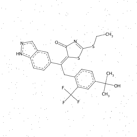 CCSC1=NC(=O)C(=C(Cc2ccc(C(C)(C)O)cc2C(F)(F)F)c2ccc3[nH]ncc3c2)S1